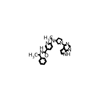 CC(NC(=O)c1ccc(N(C)[C@@H]2CCN(c3ncnc4[nH]ccc34)C2)nc1)c1ccccc1